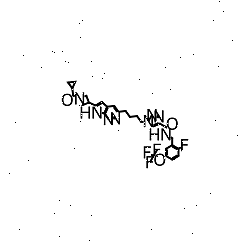 O=C(NCc1cc(OC(F)(F)F)ccc1F)c1cn(CCCCc2cc3cc(C4CN(C(=O)C5CC5)C4)[nH]c3nn2)nn1